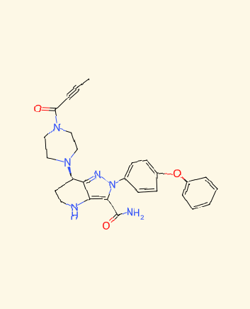 CC#CC(=O)N1CCN([C@@H]2CCNc3c2nn(-c2ccc(Oc4ccccc4)cc2)c3C(N)=O)CC1